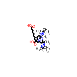 CC(C)(C)N=NC(C)(C#N)CCCC(CCCCCCCC(=O)O)(CCCC(C)(C#N)N=NC(C)(C)C)C(=O)O